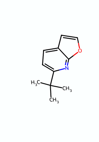 CC(C)(C)c1ccc2ccoc2n1